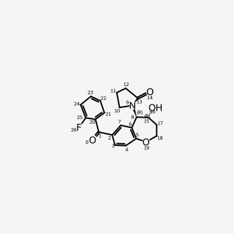 O=C(c1ccc2c(c1)[C@@H](N1CCCC1=O)[C@H](O)CCO2)c1ccccc1F